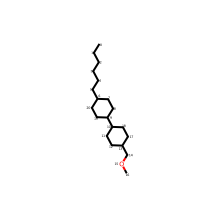 CCCCCCC1CCC(C2CCC(COC)CC2)CC1